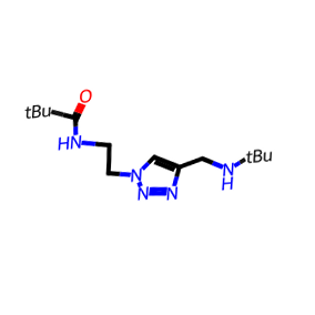 CC(C)(C)NCc1cn(CCNC(=O)C(C)(C)C)nn1